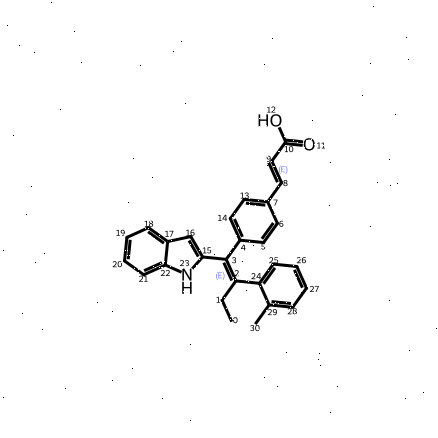 CC/C(=C(/c1ccc(/C=C/C(=O)O)cc1)c1cc2ccccc2[nH]1)c1ccccc1C